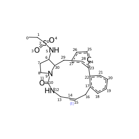 CCS(=O)(=O)NC1CCN2C(=O)NC/C=C/Cc3ccccc3-c3cccc(c3)CC12